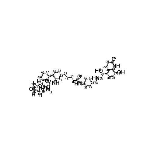 C[N+]1(C)[C@@H]2CC(OC(=O)Nc3cc(CCCCC(=O)Nc4ccc(CNC[C@H](O)c5ccc(O)c6[nH]c(=O)ccc56)cc4)ccc3-c3ccccc3)C[C@H]1[C@@H]1O[C@@H]12